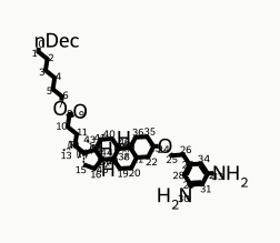 CCCCCCCCCCCCCCCCOC(=O)CC[C@@H](C)[C@H]1CC[C@H]2[C@@H]3CCC4CC(OCCc5cc(N)cc(N)c5)CC[C@]4(C)[C@H]3CC[C@]12C